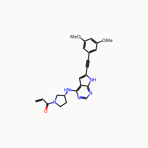 C=CC(=O)N1CC[C@H](Nc2ncnc3[nH]c(C#Cc4cc(OC)cc(OC)c4)cc23)C1